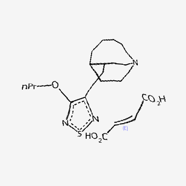 CCCOc1nsnc1C1CN2CCC1CC2.O=C(O)/C=C/C(=O)O